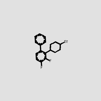 CCC1CCC(c2c(-c3ccccc3)ccc(F)c2F)CC1